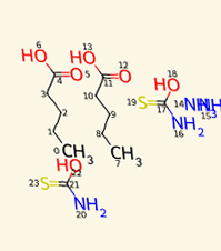 CCCCC(=O)O.CCCCC(=O)O.N.N.NC(O)=S.NC(O)=S